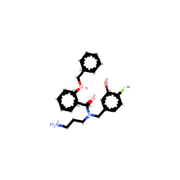 NCCCN(Cc1ccc(F)c(Br)c1)C(=O)c1ccccc1OCc1ccccc1